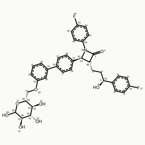 O=C1[C@H](CC[C@H](O)c2ccc(F)cc2)[C@@H](c2ccc(-c3cccc(OC[C@H]4OC(O)[C@H](O)[C@@H](O)[C@@H]4O)c3)cc2)N1c1ccc(F)cc1